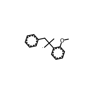 [CH2]C(C)(Cc1ccccc1)c1ccccc1OC